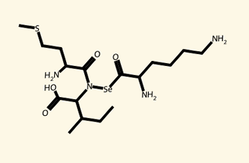 CCC(C)C(C(=O)O)N([Se]C(=O)C(N)CCCCN)C(=O)C(N)CCSC